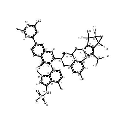 CCc1cc(-c2ccc3c(=O)n(-c4ccc(C)c5c(NS(C)(=O)=O)nn(C)c45)c([C@H](Cc4cc(F)cc(F)c4)NC(=O)Cn4nc(C(F)F)c5c4C(F)(F)[C@@H]4C[C@H]54)nc3c2)nc(C)n1